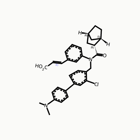 CN(C)c1ccc(-c2ccc(CN(C(=O)[C@@H]3C[C@@H]4CC[C@H]3C4)c3cccc(/C=C/C(=O)O)c3)c(Cl)c2)cc1